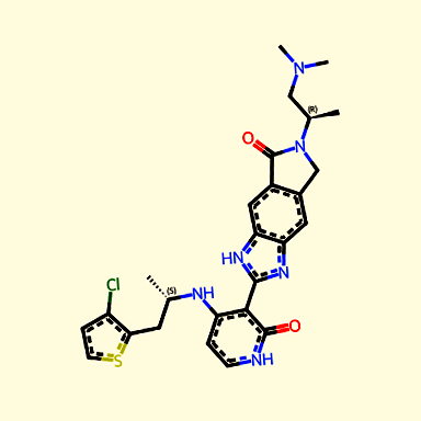 C[C@H](CN(C)C)N1Cc2cc3nc(-c4c(N[C@@H](C)Cc5sccc5Cl)cc[nH]c4=O)[nH]c3cc2C1=O